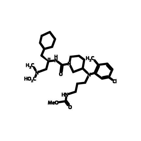 COC(=O)NCCCN(c1cc(Cl)ccc1C)C1CCCN(C(=O)N[C@H](CC2CCCCC2)CN(C)C(=O)O)C1